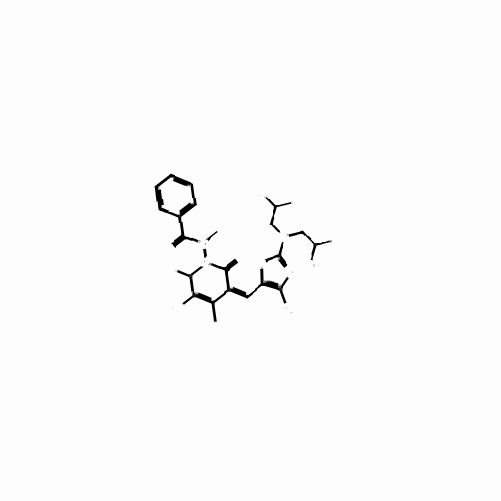 CCCCC(CC)CN(CC(CC)CCCC)c1nc(C(C)(C)C)c(/C=C2\C(=O)N(N(C)C(=O)c3ccccc3)C(O)C(C#N)=C2C)s1